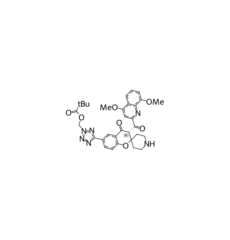 COc1cc(C(=O)[C@H]2C(=O)c3cc(-c4nnn(COC(=O)C(C)(C)C)n4)ccc3OC23CCNCC3)nc2c(OC)cccc12